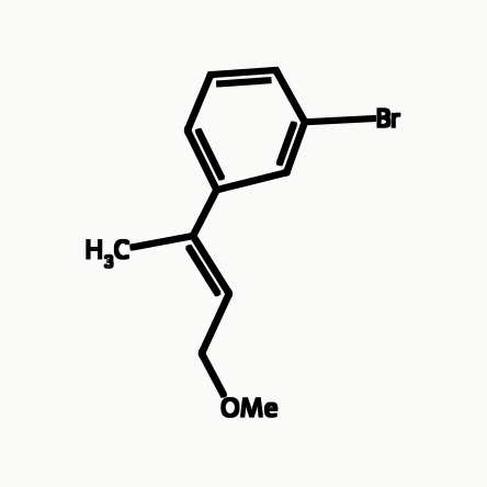 COCC=C(C)c1cccc(Br)c1